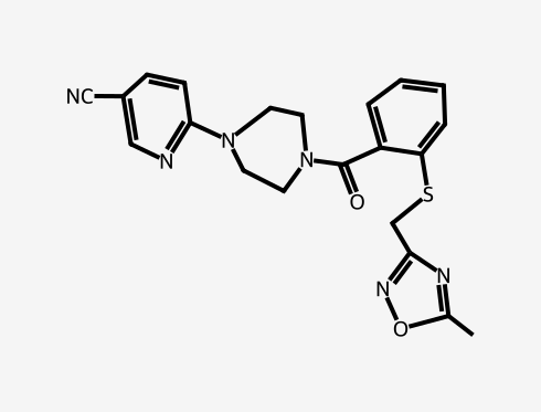 Cc1nc(CSc2ccccc2C(=O)N2CCN(c3ccc(C#N)cn3)CC2)no1